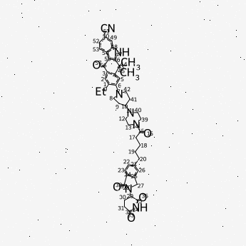 CCc1cc2c(cc1N1CCC(N3CCN(C(=O)CCCCc4ccc5c(c4)CN(C4CCC(=O)NC4=O)C5=O)CC3)CC1)C(C)(C)c1[nH]c3cc(C#N)ccc3c1C2=O